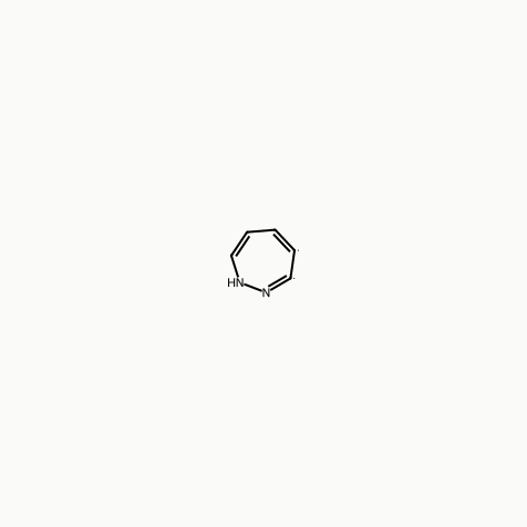 [C]1=CC=CNN=[C]1